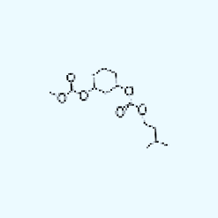 COC(=O)OC1CCCC(OC(=O)OCCC(C)C)C1